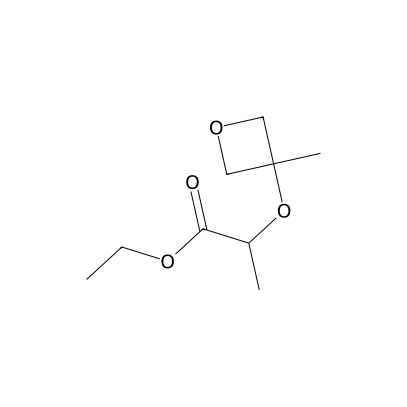 CCOC(=O)C(C)OC1(C)COC1